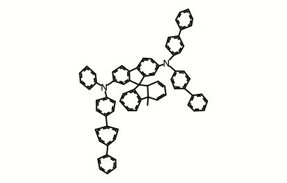 CC12C=CC=CC1C1(c3cc(N(c4ccccc4)c4ccc(-c5ccc(-c6ccccc6)cc5)cc4)ccc3-c3ccc(N(c4ccc(-c5ccccc5)cc4)c4ccc(-c5ccccc5)cc4)cc31)c1ccccc12